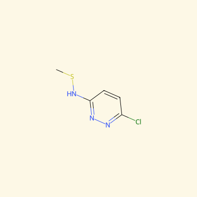 CSNc1ccc(Cl)nn1